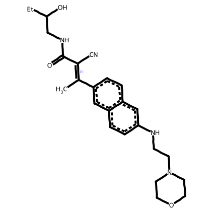 CCC(O)CNC(=O)/C(C#N)=C(\C)c1ccc2cc(NCCN3CCOCC3)ccc2c1